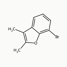 [CH2]c1c(C)oc2c(Br)cccc12